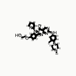 Cc1cc(Nc2ncc3c(=O)n4c(nc3n2)c2ccc(OCCO)cc2n4-c2ccccn2)ccc1N1CCN(C)CC1